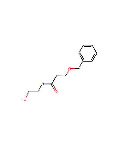 O=C(CCOCc1ccccc1)NCCO